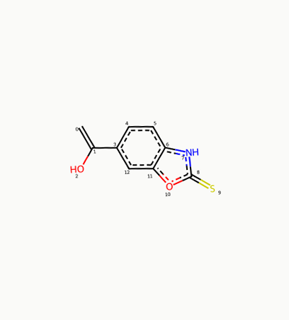 C=C(O)c1ccc2[nH]c(=S)oc2c1